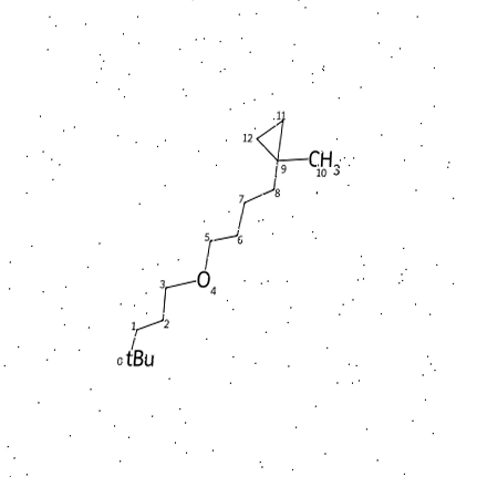 CC(C)(C)CCCOCCCCC1(C)CC1